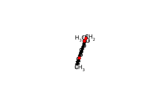 C=C(C)C(=O)OCCOCCOCCOCCOCCCCC